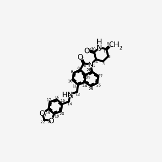 C=C1CCC(N2C(=O)c3ccc(CNCc4ccc5c(c4)OCO5)c4cccc2c34)C(=O)N1